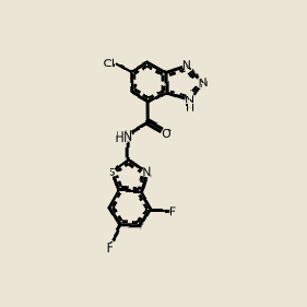 O=C(Nc1nc2c(F)cc(F)cc2s1)c1cc(Cl)cc2nn[nH]c12